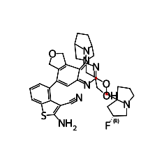 N#Cc1c(N)sc2cccc(-c3cc4nc(OCC56CCCN5C[C@H](F)C6)nc(N5C6CCC5CN(CCCO)C6)c4c4c3COC4)c12